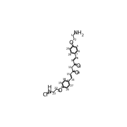 NCCOc1ccc(/C=C/C(=O)CC(=O)/C=C/c2ccc(OCCNCl)cc2)cc1